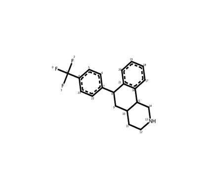 FC(F)(F)c1ccc(C2CC3CCNCC3c3ccccc32)cc1